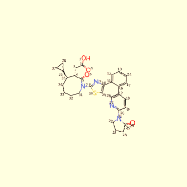 O=C(O)C[C@@H]1C(=O)N(c2nc(-c3ccccc3-c3ccc(N4CCCC4=O)nc3)cs2)CCCC[C@H]1C1CC1